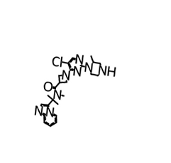 CC1CNCCN1c1ncc(Cl)c(N2CC(C(=O)N(C)C(C)(C)c3cnc4ccccn34)C2)n1